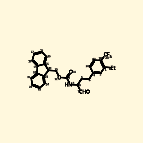 CCc1cc(CCC(C=O)NC(=O)OCC2c3ccccc3-c3ccccc32)ccc1C(F)(F)F